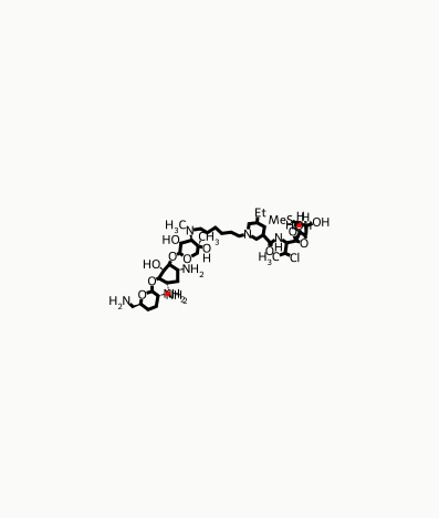 CCC1CC(C(=O)NC(C(C)Cl)C23OC([C@H]2O)[C@H](O)[C@@H](SC)O3)CN(CCCCCCN(C)[C@@H]2[C@@H](O)C(OC3[C@@H](O)C(OC4O[C@H](CN)CC[C@H]4N)[C@@H](N)C[C@H]3N)OC[C@]2(C)O)C1